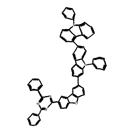 c1ccc(-c2nc(-c3ccccc3)nc(-c3ccc4oc5ccc(-c6ccc7c8cc(-c9cccc%10c9c9ccccc9n%10-c9ccccc9)ccc8n(-c8ccccc8)c7c6)cc5c4c3)n2)cc1